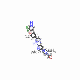 COc1nc(Nc2nccc(-c3ccc(OC4CCNCC4(F)F)c(C#N)c3)n2)ccc1N1CCN(C2COC2)[C@@H](C)C1